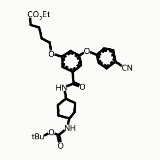 CCOC(=O)CCCCOc1cc(Oc2ccc(C#N)cc2)cc(C(=O)NC2CCC(NC(=O)OC(C)(C)C)CC2)c1